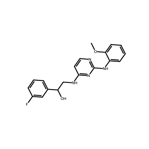 COc1ccccc1Nc1nccc(NCC(O)c2cccc(F)c2)n1